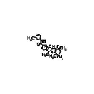 C=C(c1ccc(C(=O)Nc2cccc(C)c2)cc1)c1cc2c(cc1C)C(C)(C)CCC2(C)C